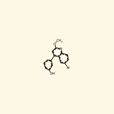 COc1cc(-c2cccc(O)c2)c2cc(Br)ccc2n1